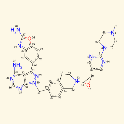 CN1CCN(c2ncc(C3OC3N3CCc4cc(Cn5nc(-c6ccc7oc(N)nc7c6)c6c(N)ncnc65)ccc4C3)cn2)CC1